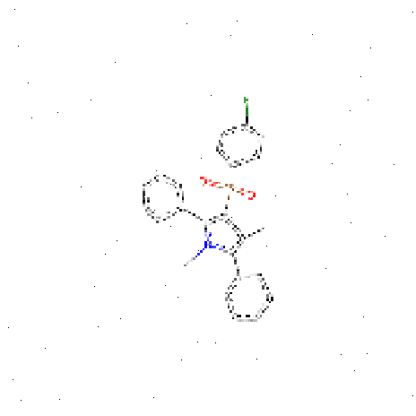 Cc1c(S(=O)(=O)c2ccc(F)cc2)c(-c2ccccc2)n(C)c1-c1ccccc1